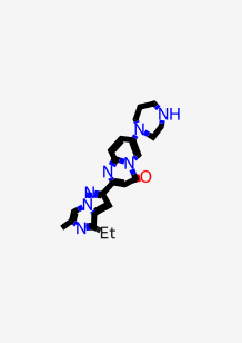 CCc1nc(C)cn2nc(-c3cc(=O)n4cc(N5CCCNCC5)ccc4n3)cc12